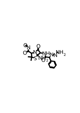 CC1(C)SC2(N)C(NC(=O)C(N=NN)c3ccccc3)C(=O)N2C1C(=O)N=O